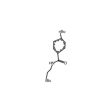 CCCCc1ccc(C(=O)NCCC(C)(C)C)cc1